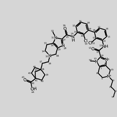 CCCCN1CCc2c(nc(C(=O)Nc3cccc(-c4cccc(NC(=O)c5nc6c(n5C)CCN(CCC57CCC(C(=O)O)(CC5)C7)C6)c4Cl)c3Cl)n2C)C1